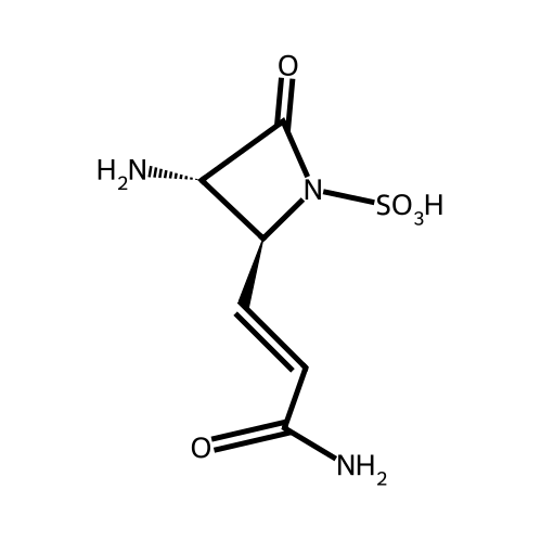 NC(=O)/C=C/[C@H]1[C@H](N)C(=O)N1S(=O)(=O)O